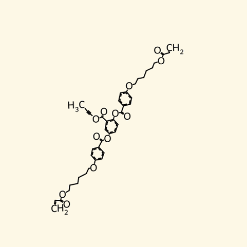 C=CC(=O)OCCCCCCOc1ccc(C(=O)Oc2ccc(OC(=O)c3ccc(OCCCCCCOC(=O)C=C)cc3)c(C(=O)OC#CC)c2)cc1